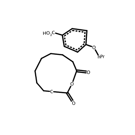 CCCOc1ccc(C(=O)O)cc1.O=C1CCCCCCCCC(=O)O1